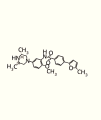 COc1ccc(N2C[C@@H](C)N[C@@H](C)C2)cc1NS(=O)(=O)c1ccc(-c2ccc(C)o2)cc1